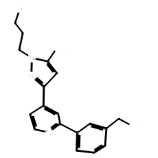 NCCCn1nc(-c2ccnc(-c3cccc(CO)c3)c2)cc1C(=O)O